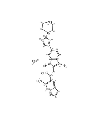 CCn1c(CN(C=O)c2nc3cc[nH]c3nc2N)[n+](CC)c2ccc(-c3cnn(C4CCNCC4)c3)cc21.Cl.[I-]